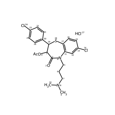 CC(=O)OC1C(=O)N(CCCN(C)C)c2cc(Cl)ccc2SC1c1ccc(Cl)cc1.Cl